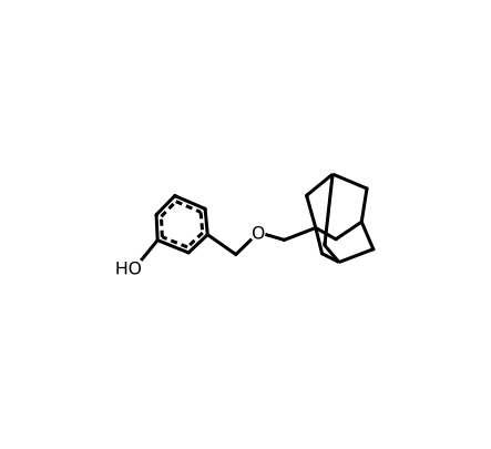 Oc1cccc(COCC23CC4CC(CC(C4)C2)C3)c1